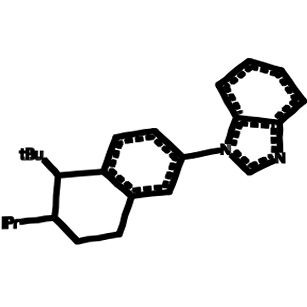 CC(C)C1CCc2cc(-n3cnc4ccccc43)ccc2C1C(C)(C)C